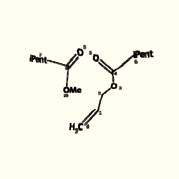 C=CCOC(=O)C(C)CCC.CCCC(C)C(=O)OC